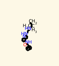 C=CCC(C)(C)CNCCCNc1ccc2c(NC(=O)CC34CC5CC(CC(C5)C3)C4)cccc2n1